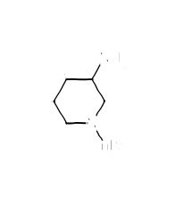 [CH2]CCN1CCCC(N)C1